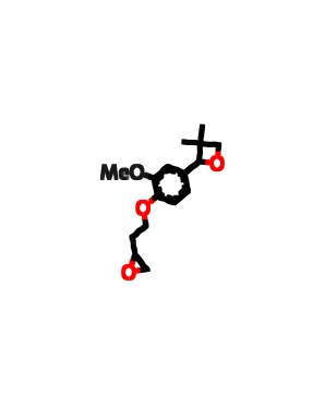 COc1cc(C2OCC2(C)C)ccc1OCCC1CO1